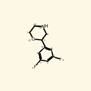 Fc1cc(F)cc(C2CNCCO2)c1